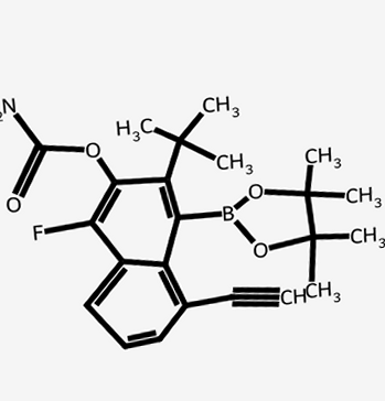 C#Cc1cccc2c(F)c(OC(N)=O)c(C(C)(C)C)c(B3OC(C)(C)C(C)(C)O3)c12